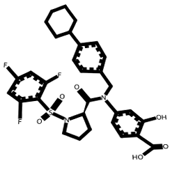 O=C(O)c1ccc(N(Cc2ccc(C3CCCCC3)cc2)C(=O)[C@H]2CCCN2S(=O)(=O)c2c(F)cc(F)cc2F)cc1O